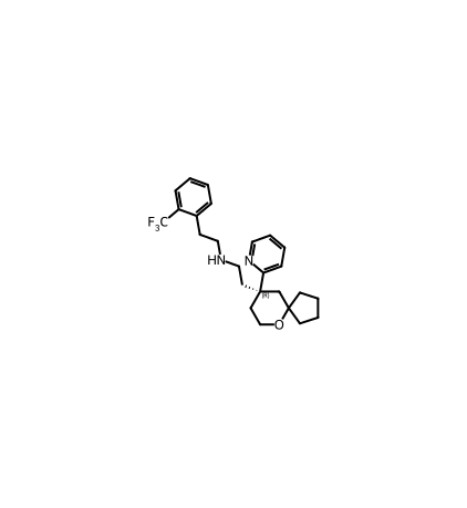 FC(F)(F)c1ccccc1CCNCC[C@@]1(c2ccccn2)CCOC2(CCCC2)C1